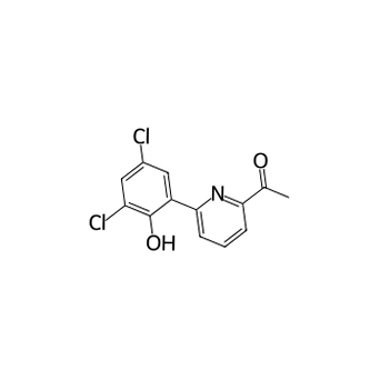 CC(=O)c1cccc(-c2cc(Cl)cc(Cl)c2O)n1